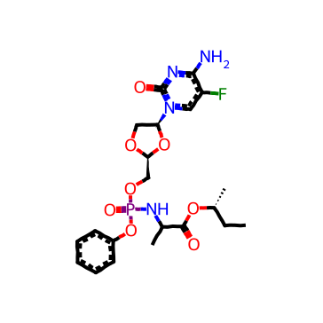 CC[C@@H](C)OC(=O)C(C)NP(=O)(OC[C@H]1OC[C@@H](n2cc(F)c(N)nc2=O)O1)Oc1ccccc1